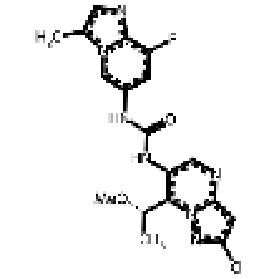 CO[C@@H](C)c1c(NC(=O)Nc2cc(F)c3ncc(C)n3c2)cnc2cc(Cl)nn12